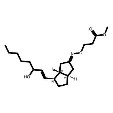 CCCCCC(O)C=C[C@@H]1CC[C@@H]2CC(=NOCCC(=O)OC)C[C@H]21